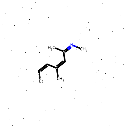 CC\C=C/C(C)=C\C(C)=N/C